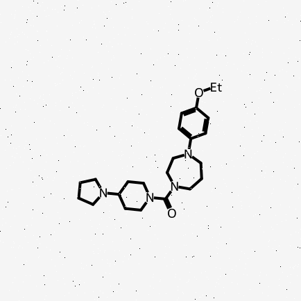 CCOc1ccc(N2CCCN(C(=O)N3CCC(N4CCCC4)CC3)CC2)cc1